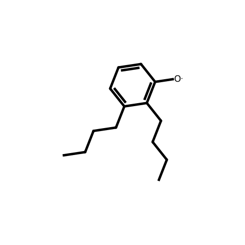 CCCCc1cccc([O])c1CCCC